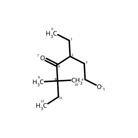 CCC(CC[O])C(=O)C(C)(C)CC